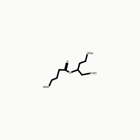 CCCCCCCCCCCCCC(=O)OC(C[C]=O)CCCCCCCCCCCC